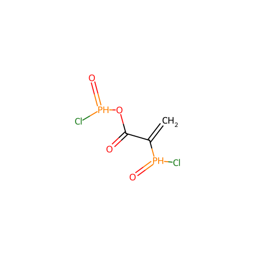 C=C(C(=O)O[PH](=O)Cl)[PH](=O)Cl